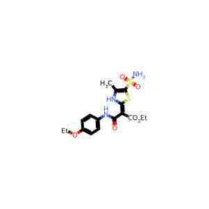 CCOC(=O)C(C(=O)Nc1ccc(OCC)cc1)=C1NC(C)=C(S(N)(=O)=O)S1